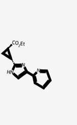 CCOC(=O)[C@@H]1C[C@H]1c1nc(-c2ccccn2)c[nH]1